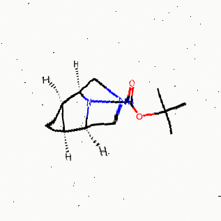 CC(C)(C)OC(=O)N1[C@@H]2CNC[C@H]1[C@H]1C[C@H]12